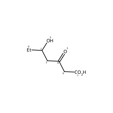 CCC(O)CC(=O)CC(=O)O